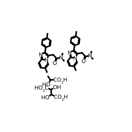 CC(O)C(=O)O.Cc1ccc(-c2nc3ccc(C)cn3c2CC(=O)N(C)C)cc1.Cc1ccc(-c2nc3ccc(C)cn3c2CC(=O)N(C)C)cc1.O=C(O)C(O)C(O)C(=O)O